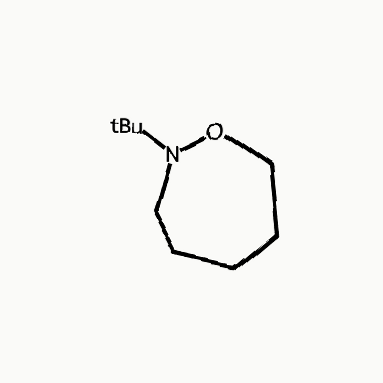 CC(C)(C)N1CCCCCO1